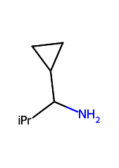 CC(C)C(N)C1CC1